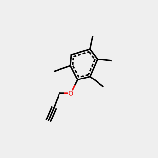 C#CCOc1c(C)cc(C)c(C)c1C